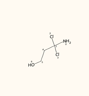 NC(Cl)(Cl)CCO